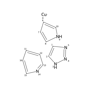 [Cu].c1c[nH]nn1.c1cc[nH]c1.c1ccncc1